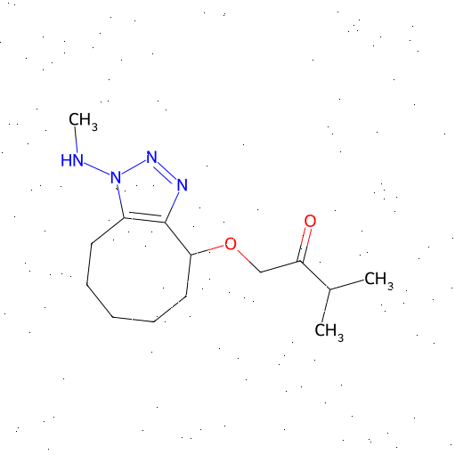 CNn1nnc2c1CCCCCC2OCC(=O)C(C)C